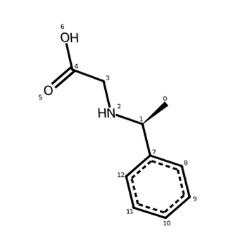 C[C@H](NCC(=O)O)c1ccccc1